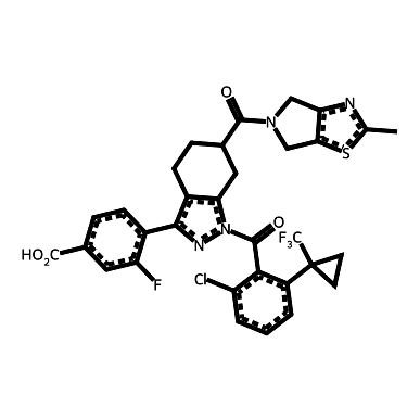 Cc1nc2c(s1)CN(C(=O)C1CCc3c(-c4ccc(C(=O)O)cc4F)nn(C(=O)c4c(Cl)cccc4C4(C(F)(F)F)CC4)c3C1)C2